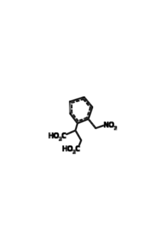 O=C(O)CC(C(=O)O)c1ccccc1C[N+](=O)[O-]